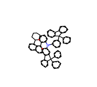 c1ccc(C2(c3cccc(N(c4ccc5c(c4)C(c4ccccc4)(c4ccccc4)c4ccccc4-5)c4ccccc4-c4cccc5cccc(C6CCCCC6)c45)c3)c3ccccc3-c3ccccc32)cc1